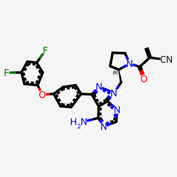 C=C(C#N)C(=O)N1CCC[C@@H]1Cn1nc(-c2ccc(Oc3cc(F)cc(F)c3)cc2)c2c(N)ncnc21